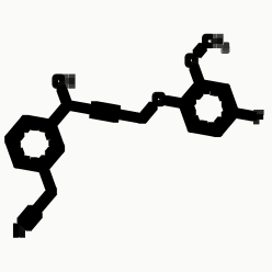 COc1cc(F)ccc1OCC#CC(O)c1cccc(CC#N)c1